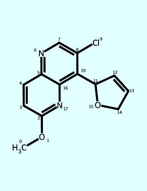 COc1ccc2ncc(Cl)c(C3C=CCO3)c2n1